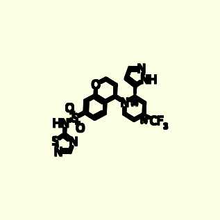 O=S(=O)(Nc1ncns1)c1ccc2c(c1)OCCC2N1CC[C@H](C(F)(F)F)C[C@@H]1c1ccn[nH]1